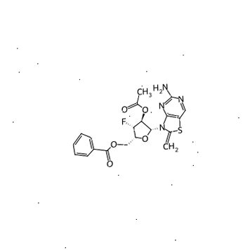 C=C1Sc2cnc(N)nc2N1[C@@H]1O[C@H](COC(=O)c2ccccc2)[C@H](F)[C@H]1OC(C)=O